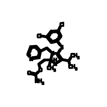 CC(C)C1=C(Sc2cc(Cl)cc(Cl)c2)N(Cc2cccnc2)C(C)(CCOC(N)=O)N1